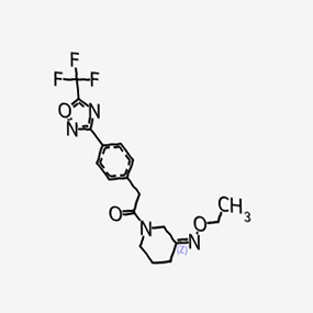 CCO/N=C1/CCCN(C(=O)Cc2ccc(-c3noc(C(F)(F)F)n3)cc2)C1